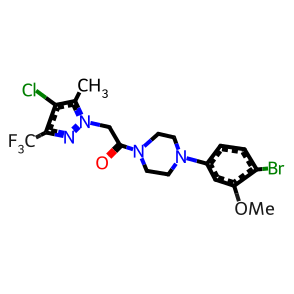 COc1cc(N2CCN(C(=O)Cn3nc(C(F)(F)F)c(Cl)c3C)CC2)ccc1Br